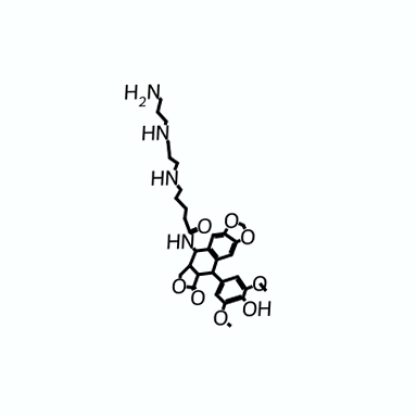 COc1cc(C2c3cc4c(cc3C(NC(=O)CCCCNCCCNCCCN)C3COC(=O)C23)OCO4)cc(OC)c1O